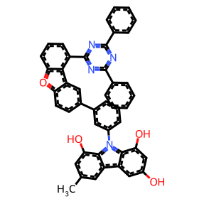 Cc1cc(O)c2c(c1)c1cc(O)cc(O)c1n2-c1cccc(-c2ccc3oc4cccc(-c5nc(-c6ccccc6)nc(-c6ccccc6)n5)c4c3c2)c1